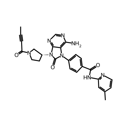 CC#CC(=O)N1CC[C@@H](n2c(=O)n(-c3ccc(C(=O)Nc4cc(C)ccn4)cc3)c3c(N)ncnc32)C1